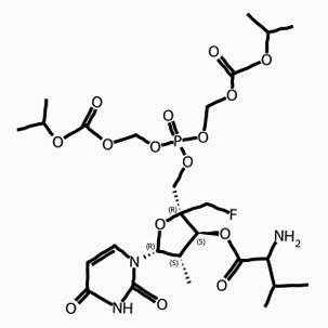 CC(C)OC(=O)OCOP(=O)(OCOC(=O)OC(C)C)OC[C@@]1(CF)O[C@@H](n2ccc(=O)[nH]c2=O)[C@@H](C)[C@@H]1OC(=O)C(N)C(C)C